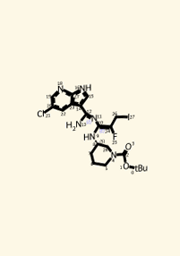 CC(C)(C)OC(=O)N1CCC[C@H](NC(/N=C(\N)c2c[nH]c3ncc(Cl)cc23)=C(\F)CI)C1